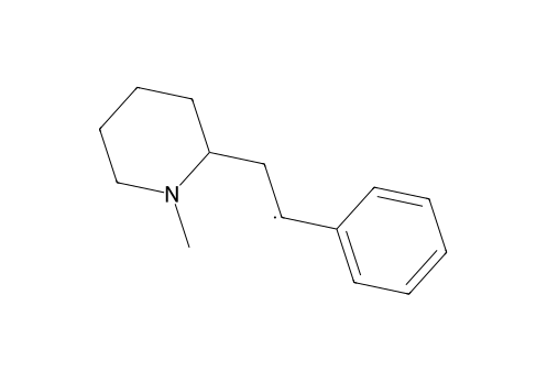 CN1CCCCC1C[CH]c1ccccc1